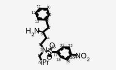 CC(C)CN(CC[C@@H](N)Cc1ccccc1)S(=O)(=O)c1ccc([N+](=O)[O-])cc1